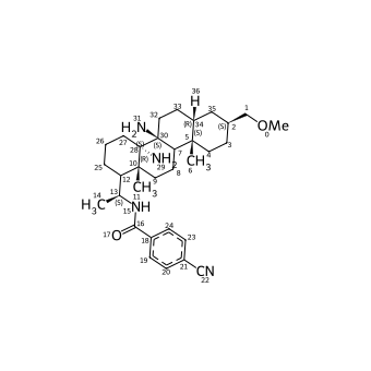 COC[C@H]1CC[C@]2(C)C3CC[C@]4(C)C([C@H](C)NC(=O)c5ccc(C#N)cc5)CCC[C@@]4(N)[C@]3(N)CC[C@@H]2C1